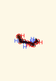 CCC(NC(=O)CC[C@H](NC(=O)COCCOCCNC(=O)CCCS(=O)(=O)NC(=O)CCCS(=O)(=O)O)C(=O)O)C(=O)O